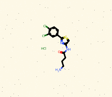 Cl.NCCCC(=O)Nc1csc(-c2ccc(Cl)c(Cl)c2)n1